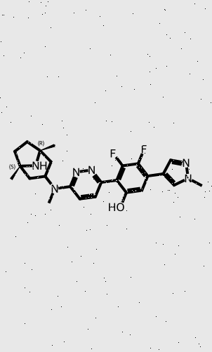 CN(c1ccc(-c2c(O)cc(-c3cnn(C)c3)c(F)c2F)nn1)C1C[C@]2(C)CC[C@](C)(C1)N2